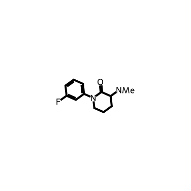 CNC1CCCN(c2cccc(F)c2)C1=O